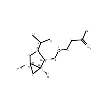 CC(=O)CCOC[C@@H]1[C@H]2C[C@H]2CN1C(C)C